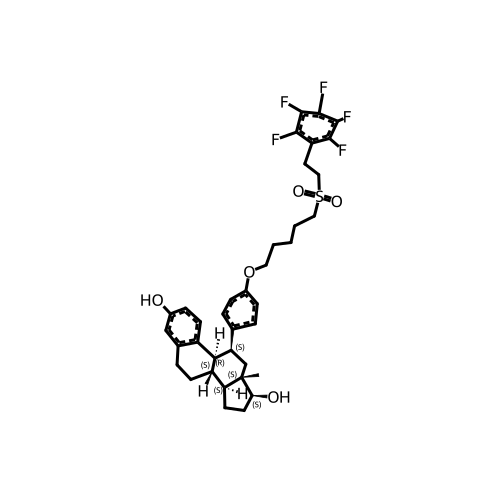 C[C@]12C[C@H](c3ccc(OCCCCCS(=O)(=O)CCc4c(F)c(F)c(F)c(F)c4F)cc3)[C@@H]3c4ccc(O)cc4CC[C@H]3[C@@H]1CC[C@@H]2O